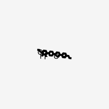 CCCc1ccc(C2CCC(C3CCC(c4ccc(OCC)c(F)c4F)CC3)OC2)cc1